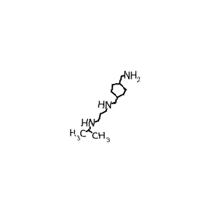 CC(C)NCCCNCC1CCC(CN)CC1